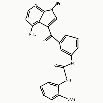 CSc1ccccc1NC(=O)Nc1cccc(C(=O)c2cn(C(C)C)c3ncnc(N)c23)c1